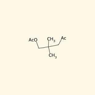 CC(=O)CC(C)(C)COC(C)=O